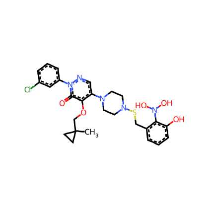 CC1(COc2c(N3CCN(SCc4cccc(O)c4N(O)O)CC3)cnn(-c3cccc(Cl)c3)c2=O)CC1